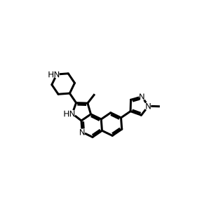 Cc1c(C2CCNCC2)[nH]c2ncc3ccc(-c4cnn(C)c4)cc3c12